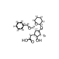 O=C(O)C[C@@H]1[C@H](O)[C@@H](I)[C@H](OC2CCCCO2)[C@H]1COCc1ccccc1